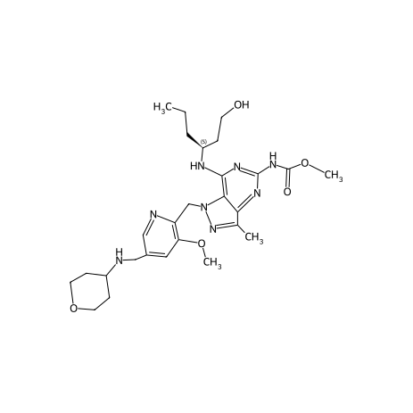 CCC[C@@H](CCO)Nc1nc(NC(=O)OC)nc2c(C)nn(Cc3ncc(CNC4CCOCC4)cc3OC)c12